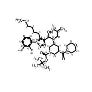 COCCCCc1c(C(O)N(CC(C)C)[C@H]2C[C@@H](C(=O)N3CCOCC3)CN(C(=O)OC(C)(C)C)C2)nnn1-c1cccc(F)c1F